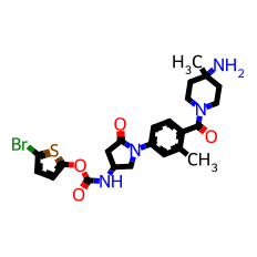 Cc1cc(N2CC(NC(=O)Oc3ccc(Br)s3)CC2=O)ccc1C(=O)N1CCC(C)(N)CC1